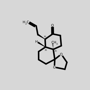 C=CC[C@H]1C(=O)CC[C@]2(C)[C@@H]1CCCC21OCCO1